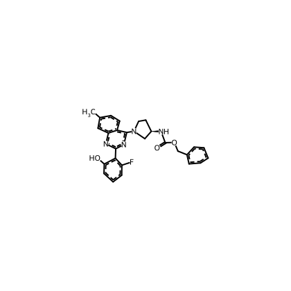 Cc1ccc2c(N3CC[C@@H](NC(=O)OCc4ccccc4)C3)nc(-c3c(O)cccc3F)nc2c1